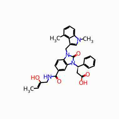 C/C=C(\O)CNC(=O)c1ccc2c(c1)n([C@H](CC(=O)O)c1ccccc1)c(=O)n2Cc1cn(C)c2cccc(C)c12